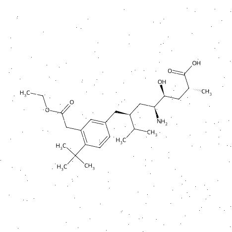 CCOC(=O)Cc1cc(C[C@@H](C[C@H](N)[C@@H](O)C[C@@H](C)C(=O)O)C(C)C)ccc1C(C)(C)C